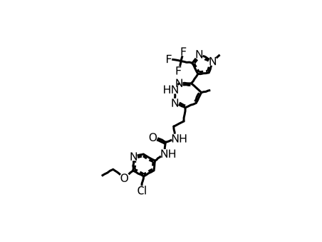 CCOc1ncc(NC(=O)NCCC2=NNN=C(c3cn(C)nc3C(F)(F)F)C(C)=C2)cc1Cl